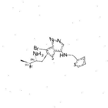 C[C@H](F)[C@H](N)Cc1sc2c(NCc3cccs3)cnnc2c1Br